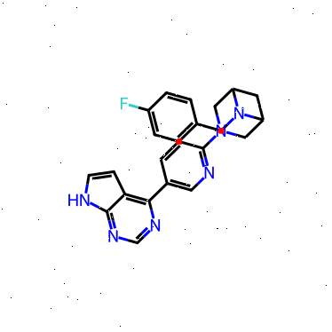 Fc1ccc(CN2C3CC2CN(c2ccc(-c4ncnc5[nH]ccc45)cn2)C3)cc1